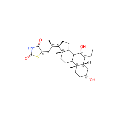 CC[C@H]1[C@@H](O)C2C3CC[C@H]([C@H](C)C[C@H]4SC(=O)NC4=O)[C@@]3(C)CCC2[C@@]2(C)CC[C@@H](O)C[C@@H]12